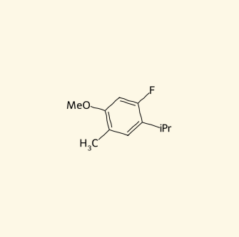 COc1cc(F)c(C(C)C)cc1C